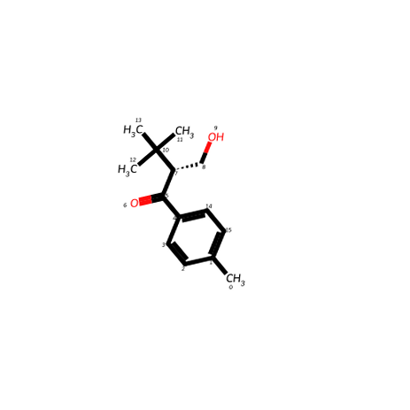 Cc1ccc(C(=O)[C@@H](CO)C(C)(C)C)cc1